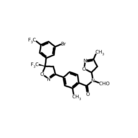 CC1=NOC(N(C=O)C(=O)c2ccc(C3=NO[C@@](c4cc(Br)cc(C(F)(F)F)c4)(C(F)(F)F)C3)cc2C)C1